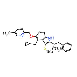 CCOC(=O)C(Cc1ccccc1)c1[nH]c2ccc(OCc3ccc(C)cn3)c(CC3CC3)c2c1SC(C)(C)C